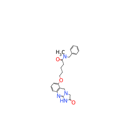 CN(Cc1ccccc1)C(=O)CCCCOc1cccc2c1CN1CC(=O)NC1=N2